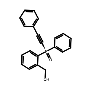 O=[P@@](C#Cc1ccccc1)(c1ccccc1)c1ccccc1CO